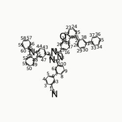 N#Cc1cccc(-c2cccc(-c3nc(-c4ccc5c(c4)oc4cccc(-c6cccc(-c7ccccc7)c6)c45)nc(-c4ccc5c(c4)c4ccccc4n5-c4ccccc4)n3)c2)c1